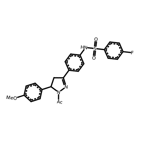 COc1ccc(C2CC(c3ccc(NS(=O)(=O)c4ccc(F)cc4)cc3)=NN2C(C)=O)cc1